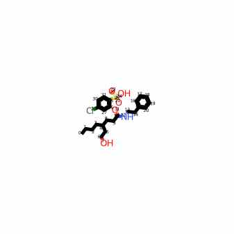 CCCCC(CCO)CCC(=O)NCCc1ccccc1.O=S(=O)(O)c1ccc(Cl)cc1